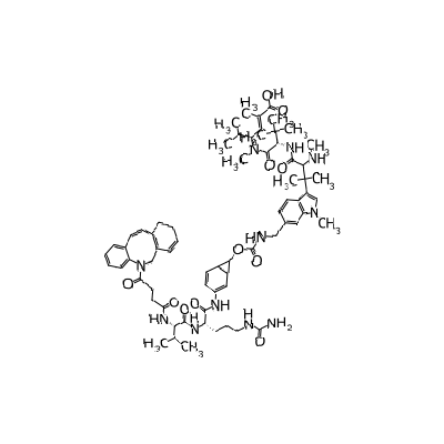 CNC(C(=O)N[C@H](C(=O)N(C)[C@H](/C=C(\C)C(=O)O)C(C)C)C(C)(C)C)C(C)(C)c1cn(C)c2cc(CNC(=O)OC3C4C=CC(NC(=O)[C@H](CCCNC(N)=O)NC(=O)[C@@H](NC(=O)CCC(=O)N5CC6=C(/C=C\c7ccccc75)CCC=C6)C(C)C)=CC43)ccc12